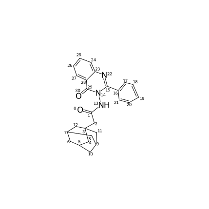 O=C(CC12CC3CC(CC(C3)C1)C2)Nn1c(-c2ccccc2)nc2ccccc2c1=O